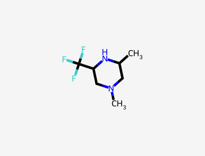 CC1CN(C)CC(C(F)(F)F)N1